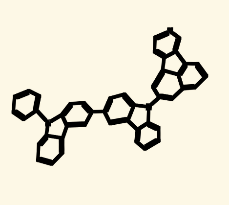 c1ccc(-n2c3ccccc3c3cc(-c4ccc5c(c4)c4ccccc4n5-c4cc5c6c(cccc6c4)-c4cnccc4-5)ccc32)cc1